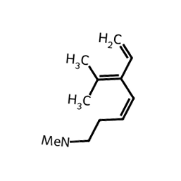 C=CC(/C=C\CCNC)=C(C)C